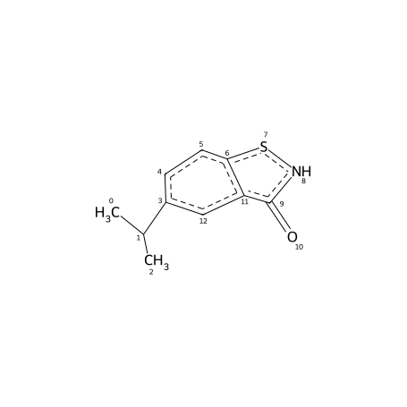 CC(C)c1ccc2s[nH]c(=O)c2c1